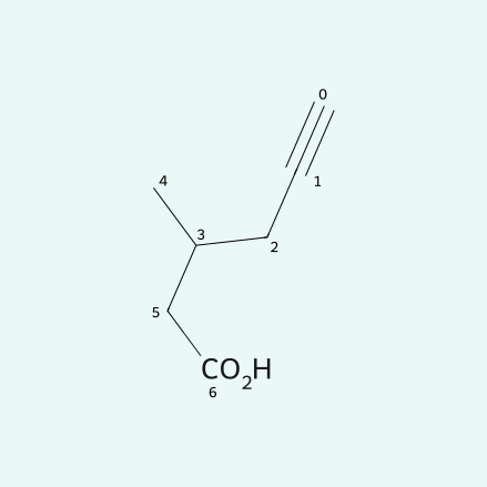 C#CCC(C)CC(=O)O